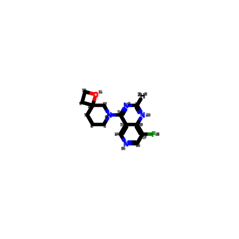 [2H]c1nc(N2CCCC3(CCO3)C2)c2cncc(F)c2n1